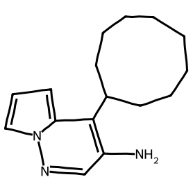 Nc1cnn2cccc2c1C1CCCCCCCC1